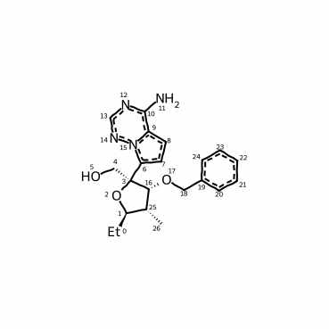 CC[C@H]1O[C@@](CO)(c2ccc3c(N)ncnn23)[C@H](OCc2ccccc2)[C@@H]1C